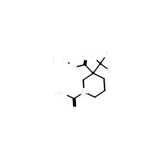 COC(=O)C1(C(F)(F)F)CCCN(C(=O)O)C1